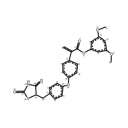 C=C(C(=O)Oc1cc(OC)cc(OC)c1)c1ccc(Oc2ccc(CC3SC(=O)NC3=O)cc2)cc1